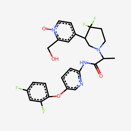 CC(C(=O)Nc1ccc(Oc2ccc(F)cc2F)cn1)N1CCC(F)(F)C(c2cc[n+]([O-])c(CO)c2)C1